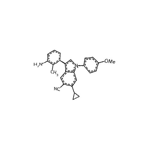 COc1ccc(-n2cc(-c3cccc(N)c3C)c3cc(C#N)c(C4CC4)cc32)cc1